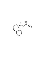 CC(NC(=O)C(F)(F)F)=C1CCCc2ccccc21